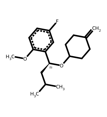 C=C1CCC(O[C@@H](CC(C)C)c2cc(F)ccc2OC)CC1